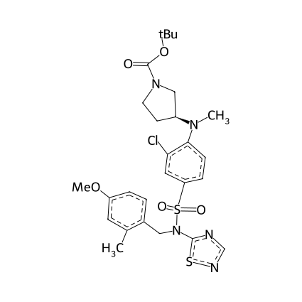 COc1ccc(CN(c2ncns2)S(=O)(=O)c2ccc(N(C)[C@H]3CCN(C(=O)OC(C)(C)C)C3)c(Cl)c2)c(C)c1